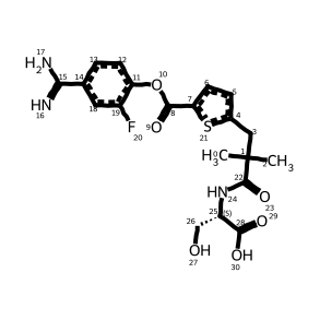 CC(C)(Cc1ccc(C(=O)Oc2ccc(C(=N)N)cc2F)s1)C(=O)N[C@@H](CO)C(=O)O